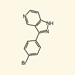 Brc1ccc(-c2n[nH]c3ccncc23)cc1